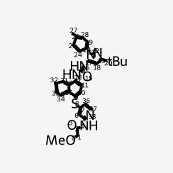 COCC(=O)Nc1cc(Sc2ccc(NC(=O)Nc3cc(C(C)(C)C)nn3-c3ccc(C)cc3)c3ccccc23)ccn1